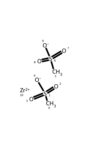 CS(=O)(=O)[O-].CS(=O)(=O)[O-].[Zr+2]